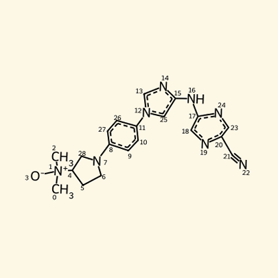 C[N+](C)([O-])C1CCN(c2ccc(-n3cnc(Nc4cnc(C#N)cn4)c3)cc2)C1